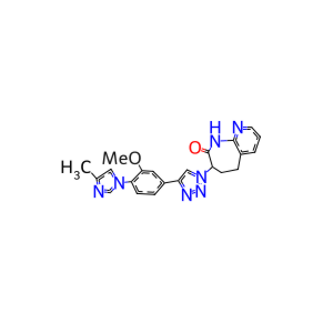 COc1cc(-c2cn(C3CCc4cccnc4NC3=O)nn2)ccc1-n1cnc(C)c1